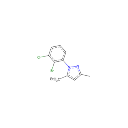 CCOC(=O)c1cc(C)nn1-c1cccc(Cl)c1Br